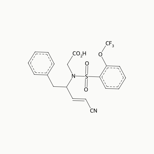 N#CC=CC(Cc1ccccc1)N(CC(=O)O)S(=O)(=O)c1ccccc1OC(F)(F)F